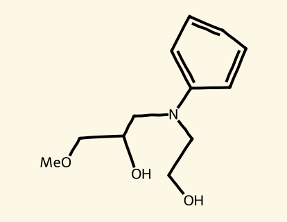 COCC(O)CN(CCO)c1ccccc1